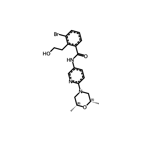 C[C@@H]1CN(c2ccc(NC(=O)c3cccc(Br)c3CCO)cn2)C[C@H](C)O1